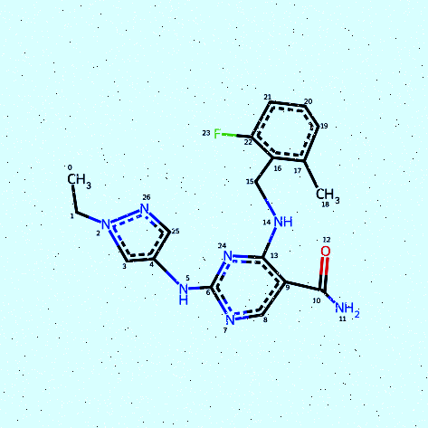 CCn1cc(Nc2ncc(C(N)=O)c(NCc3c(C)cccc3F)n2)cn1